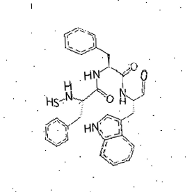 O=C[C@H](Cc1c[nH]c2ccccc12)NC(=O)[C@H](Cc1ccccc1)NC(=O)[C@H](Cc1ccccc1)NS